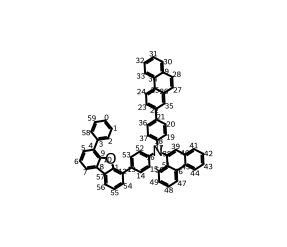 c1ccc(-c2cccc3c2oc2c(-c4ccc(N(c5ccc(-c6ccc7c(ccc8ccccc87)c6)cc5)c5cc6ccccc6c6ccccc56)cc4)cccc23)cc1